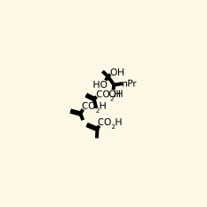 C=C(C)C(=O)O.C=C(C)C(=O)O.C=C(C)C(=O)O.CCCC(O)C(C)(O)O